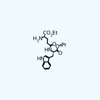 CCOC(=O)[C@H](N)CCC(=O)N[C@H](Cc1c[nH]c2ccccc12)C(=O)OC(C)C